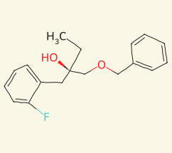 CC[C@](O)(COCc1ccccc1)Cc1ccccc1F